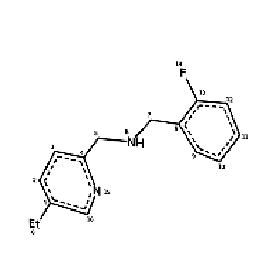 CCc1ccc(CNCc2ccccc2F)nc1